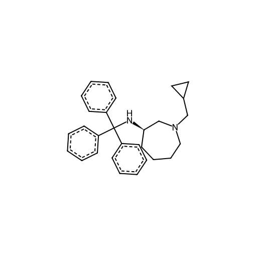 c1ccc(C(N[C@@H]2CCCCN(CC3CC3)C2)(c2ccccc2)c2ccccc2)cc1